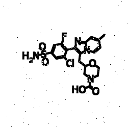 Cc1ccn2c(CC3CN(C(=O)O)CCO3)c(-c3c(F)cc(S(N)(=O)=O)cc3Cl)nc2c1